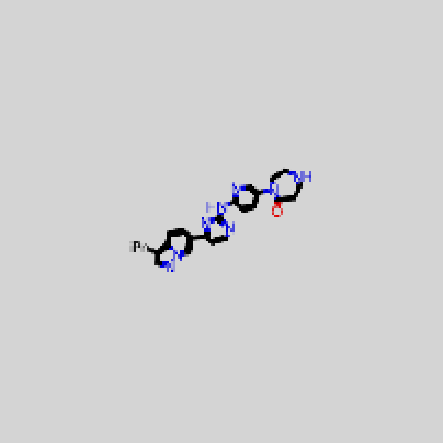 CC(C)c1cnn2cc(-c3ccnc(Nc4ccc(N5CCNCCC5=O)cn4)n3)ccc12